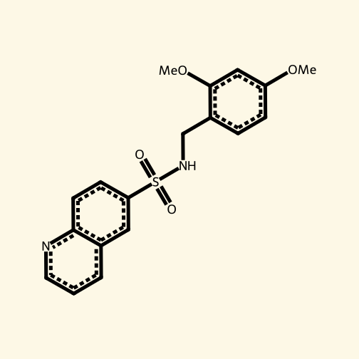 COc1ccc(CNS(=O)(=O)c2ccc3ncccc3c2)c(OC)c1